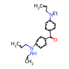 C=CCN(CC)c1ccc(C(=O)c2ccc(N(CC=C)NC=C)cc2)cc1